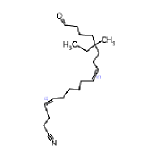 CCC(C)(CC/C=C\CCCC/C=C\CCC#N)CCCC=O